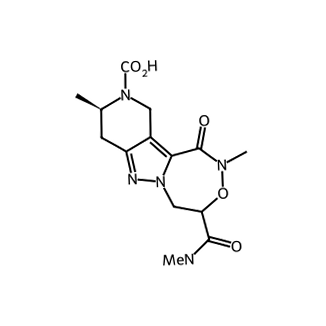 CNC(=O)C1Cn2nc3c(c2C(=O)N(C)O1)CN(C(=O)O)[C@H](C)C3